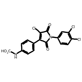 O=C(O)Nc1ccc(C2=C(Cl)C(=O)N(c3ccc(Cl)c(Cl)c3)C2=O)cc1